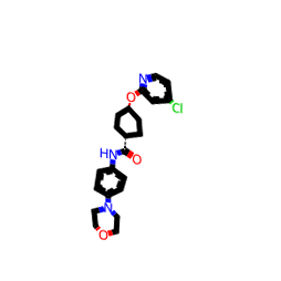 O=C(Nc1ccc(N2CCOCC2)cc1)[C@H]1CC[C@@H](Oc2cc(Cl)ccn2)CC1